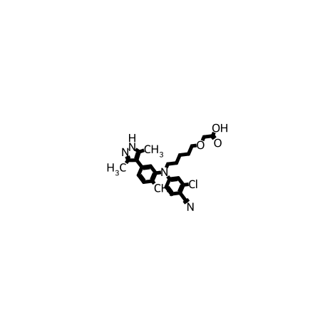 Cc1ccc(-c2c(C)n[nH]c2C)cc1N(CCCCCOCC(=O)O)c1ccc(C#N)c(Cl)c1